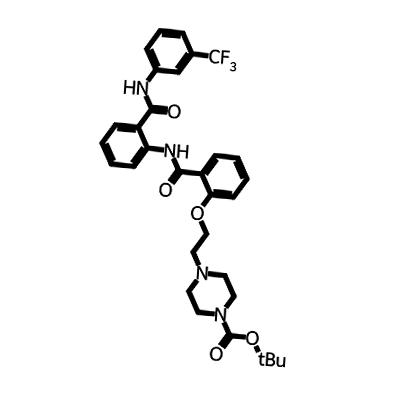 CC(C)(C)OC(=O)N1CCN(CCOc2ccccc2C(=O)Nc2ccccc2C(=O)Nc2cccc(C(F)(F)F)c2)CC1